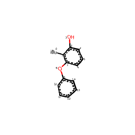 CCC(C)c1c(O)cccc1Oc1ccccc1